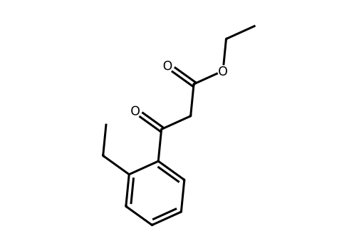 CCOC(=O)CC(=O)c1ccccc1CC